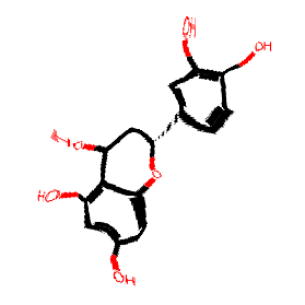 Oc1cc(O)c2c(c1)O[C@@H](c1ccc(O)c(O)c1)CC2O